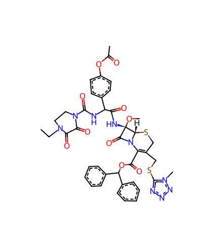 CCN1CCN(C(=O)NC(C(=O)N[C@]2(OC)C(=O)N3C(C(=O)OC(c4ccccc4)c4ccccc4)=C(CSc4nnnn4C)CS[C@H]32)c2ccc(OC(C)=O)cc2)C(=O)C1=O